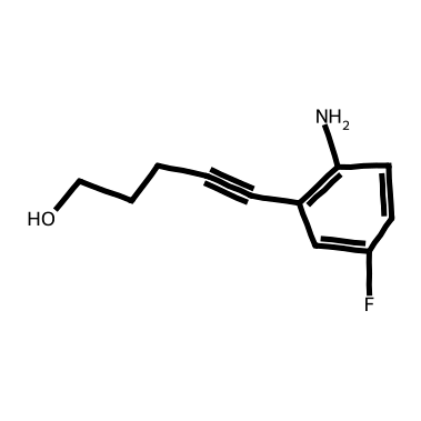 Nc1ccc(F)cc1C#CCCCO